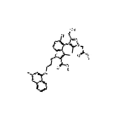 CNC(=O)Cn1nc(CO)c(-c2c(Cl)ccc3c2c(C)c(C(=O)OC)n3CCCOc2cc(C)cc3ccccc23)c1C